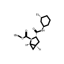 CC[C@@H]1CCC[C@@H](NC(=O)[C@@H]2C[C@H]3C[C@H]3N2C(=O)OC(C)(C)C)C1